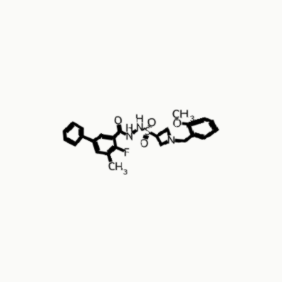 COc1ccccc1CN1CC(S(=O)(=O)NNC(=O)c2cc(-c3ccccc3)cc(C)c2F)C1